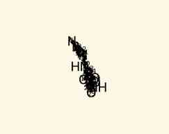 N#CB1CC2(CCN(CCCNc3ccc4c(c3)C(=O)N(C3CCC(=O)NC3=O)C4=O)CC2)C1